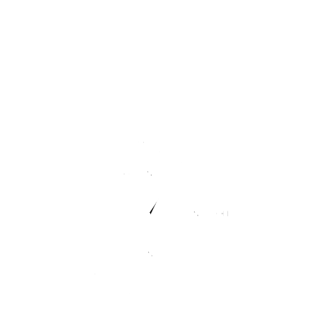 CC(C)ON([C@H](CCN(C)O[SH](=O)=O)C(=O)NO)S(=O)(=O)c1ccc(-c2ccccc2)cc1